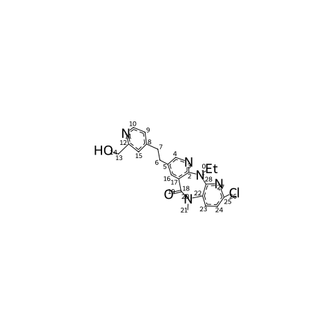 CCN1c2ncc(CCc3ccnc(CO)c3)cc2C(=O)N(C)c2ccc(Cl)nc21